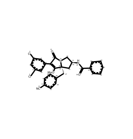 COC1=C(c2cc(Cl)cc(Cl)c2)C(=O)N2C[C@@H](NC(=O)c3ccccc3)C[C@@]12Cc1ccc(C#N)cc1